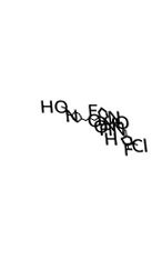 O=C(NCc1ccc(F)c(Cl)c1)c1nc2ccc(F)c(OCCC3CCN(CCO)CC3)c2c(=O)[nH]1